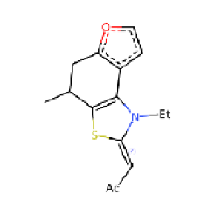 CCN1C2=C(S/C1=C\C(C)=O)C(C)Cc1occc12